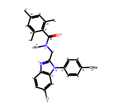 CCCN(Cc1nc2ccc(Cl)cc2n1-c1ccc(OC)cc1)C(=O)c1c(C)cc(C)cc1C